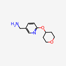 NCc1ccc(OC2CCOCC2)nc1